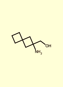 NC1(CO)CC2(CCC2)C1